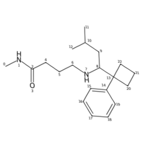 CNC(=O)CCCNC(CC(C)C)C1(c2ccccc2)CCC1